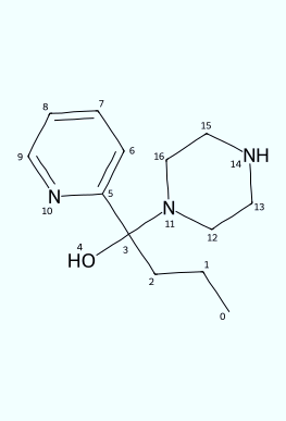 CCCC(O)(c1ccccn1)N1CCNCC1